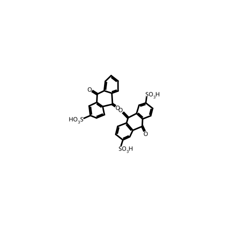 O=C1c2ccc(S(=O)(=O)O)cc2C(=O)c2ccc(S(=O)(=O)O)cc21.O=C1c2ccccc2C(=O)c2cc(S(=O)(=O)O)ccc21